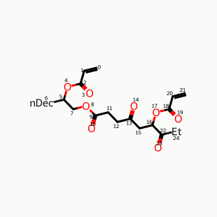 C=CC(=O)OC(CCCCCCCCCC)COC(=O)CCC(=O)CC(OC(=O)C=C)C(=O)CC